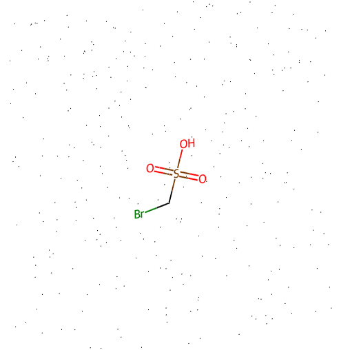 O=S(=O)(O)CBr